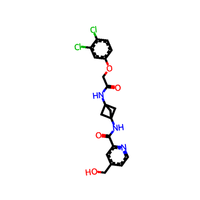 O=C(COc1ccc(Cl)c(Cl)c1)NC12CC(NC(=O)c3cc(CO)ccn3)(C1)C2